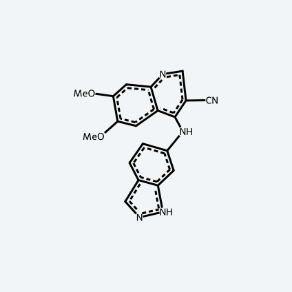 COc1cc2ncc(C#N)c(Nc3ccc4cn[nH]c4c3)c2cc1OC